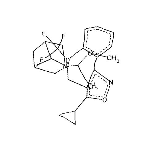 COC(C)N1CC2CC(C1)C2OCc1c(-c2ccccc2OC(F)(F)F)noc1C1CC1